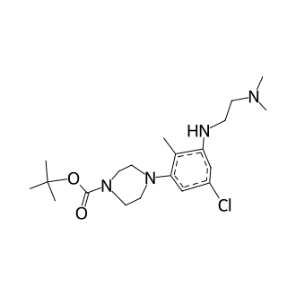 Cc1c(NCCN(C)C)cc(Cl)cc1N1CCN(C(=O)OC(C)(C)C)CC1